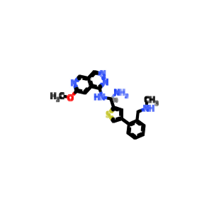 CNCc1ccccc1-c1csc([C@@H](N)Nc2nncc3cnc(OC)cc23)c1